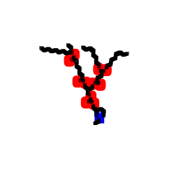 CC/C=C\CCCCOC(CCC(=O)OCC(COC(=O)CCCCCC(=O)OC(CC)CCCCCCCC)COC(=O)OCC1CCCN(CC)C1)OCCCC/C=C\CC